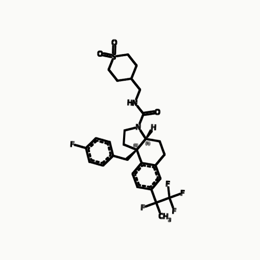 CC(F)(c1ccc2c(c1)CC[C@H]1N(C(=O)NCC3CCS(=O)(=O)CC3)CC[C@@]21Cc1ccc(F)cc1)C(F)(F)F